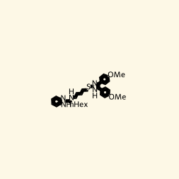 CCCCCCC(NCCCCCSc1nc(-c2ccc(OC)cc2)c(-c2ccc(OC)cc2)[nH]1)c1nc2ccccc2[nH]1